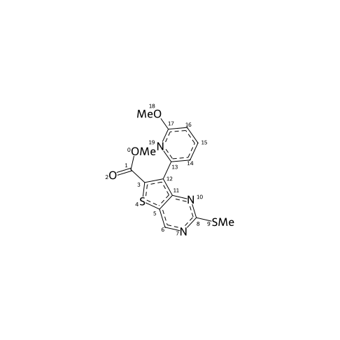 COC(=O)c1sc2cnc(SC)nc2c1-c1cccc(OC)n1